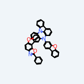 C1=C2c3c(ccc4nc(-c5ccccc5)oc34)OC2CC=C1N(c1ccc2c(c1)oc1ccccc12)c1cccc2c3ccccc3n(-c3ccccc3)c12